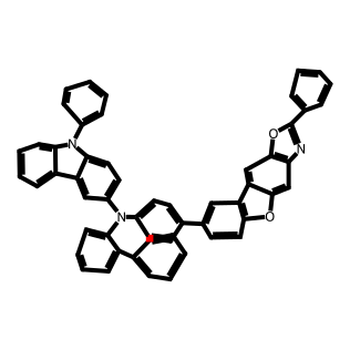 c1ccc(-c2nc3cc4oc5ccc(-c6ccc(N(c7ccc8c(c7)c7ccccc7n8-c7ccccc7)c7ccccc7-c7ccccc7)cc6)cc5c4cc3o2)cc1